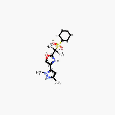 Cn1nc(C(C)(C)C)cc1-c1coc(C(C)(C)S(=O)(=O)C2CCCCC2)n1